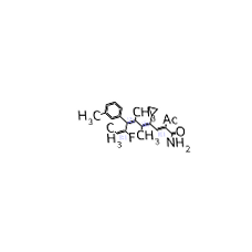 C\C=C(F)/C(=C(C)\C(C)=C(\C=C(/C(C)=O)C(N)=O)C1CC1)c1cccc(C)c1